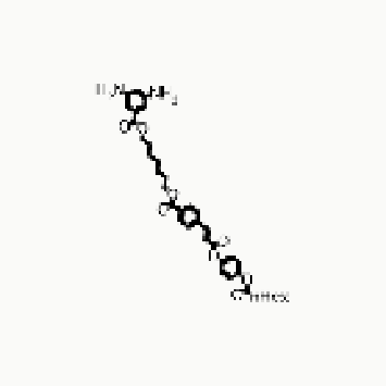 CCCCCCC(=O)Oc1ccc(OC(=O)/C=C/c2ccc(C(=O)OCCCCCCCOC(=O)c3cc(N)cc(N)c3)cc2)cc1